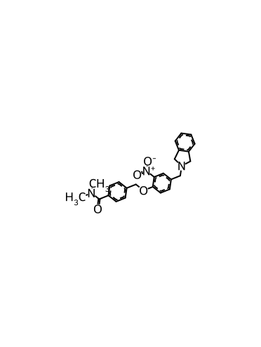 CN(C)C(=O)c1ccc(COc2ccc(CN3Cc4ccccc4C3)cc2[N+](=O)[O-])cc1